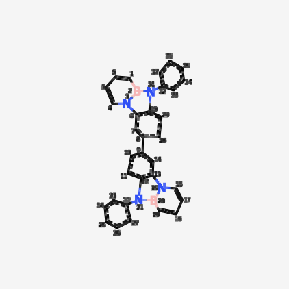 C1=CB2N(C=C1)c1cc(-c3ccc4c(c3)N3C=CC=CB3N4c3ccccc3)ccc1N2c1ccccc1